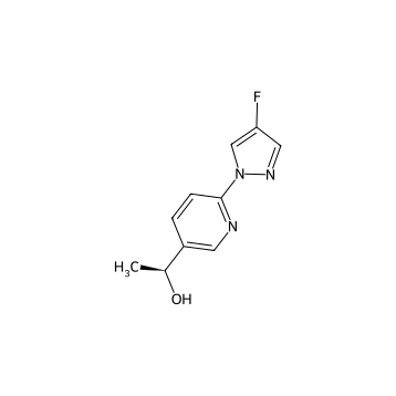 C[C@H](O)c1ccc(-n2cc(F)cn2)nc1